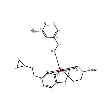 COC1CCC2(CC1)Cc1ccc(CCC3CC3)cc1C21N=C(SCc2cccc(C#N)c2)NC1=O